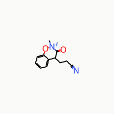 C[N+]1(C)Oc2ccccc2C(CCC#N)C1=O